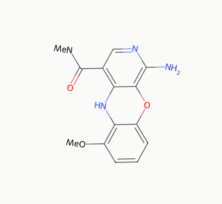 CNC(=O)c1cnc(N)c2c1Nc1c(OC)cccc1O2